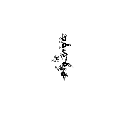 CCc1cc(N2C(=S)N(c3ccc(C#N)c(C(F)(F)F)c3)C(=O)C2(C)C)ccc1OCCN1CCN(CC(=O)Nc2cc(C#N)cc(NC3CCC(=O)NC3=O)c2)[C@H](C)C1.O=C(O)C(F)(F)F